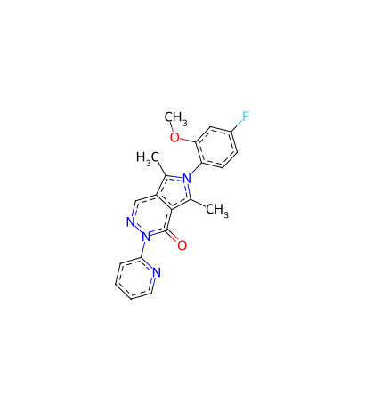 COc1cc(F)ccc1-n1c(C)c2cnn(-c3ccccn3)c(=O)c2c1C